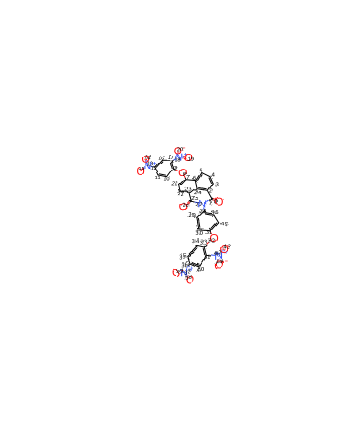 O=C1c2cccc3c(Oc4ccc([N+](=O)[O-])cc4[N+](=O)[O-])ccc(c23)C(=O)N1c1ccc(Oc2ccc([N+](=O)[O-])cc2[N+](=O)[O-])cc1